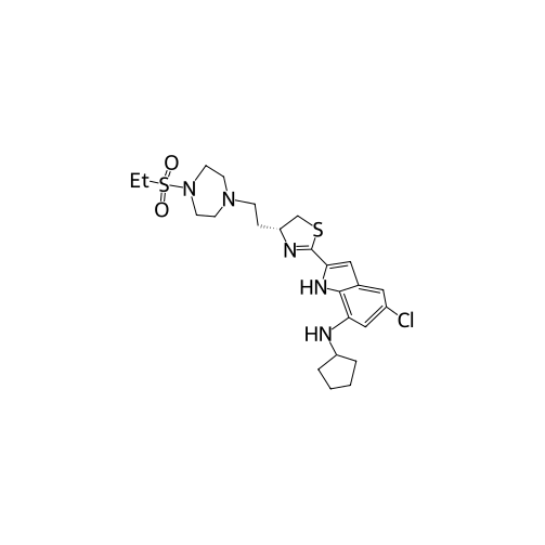 CCS(=O)(=O)N1CCN(CC[C@@H]2CSC(c3cc4cc(Cl)cc(NC5CCCC5)c4[nH]3)=N2)CC1